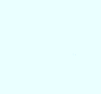 CCCCCCCC[Si](C)(Br)CCCCCC